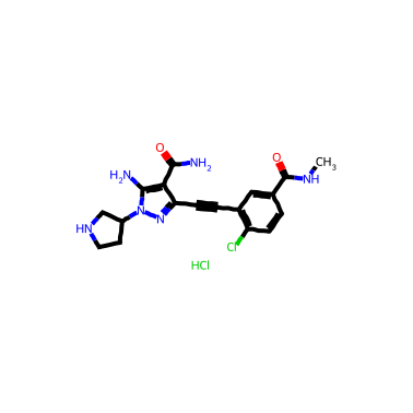 CNC(=O)c1ccc(Cl)c(C#Cc2nn(C3CCNC3)c(N)c2C(N)=O)c1.Cl